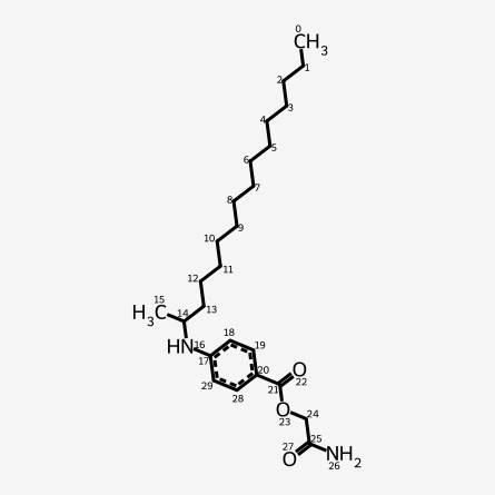 CCCCCCCCCCCCCCC(C)Nc1ccc(C(=O)OCC(N)=O)cc1